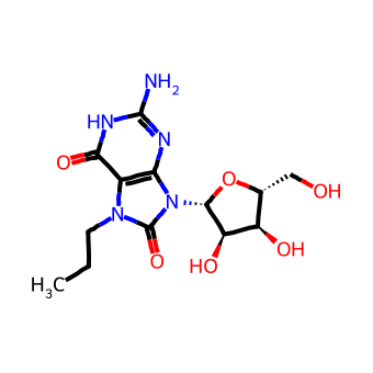 CCCn1c(=O)n([C@@H]2O[C@H](CO)[C@@H](O)[C@H]2O)c2nc(N)[nH]c(=O)c21